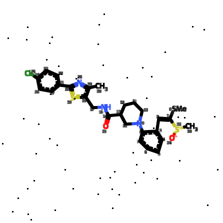 CSC(=Cc1ccccc1N1CCCC(C(=O)NCc2sc(-c3ccc(Cl)cc3)nc2C)C1)[S+](C)[O-]